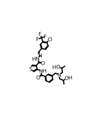 CC(O)CN(Cc1cccc(C(=O)Nc2cscc2C(=O)N/N=C/c2ccc(Cl)c(C(F)(F)F)c2)c1)CC(C)O